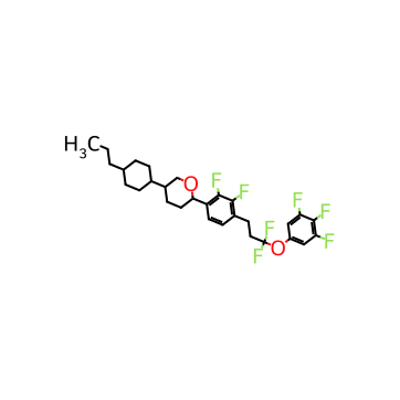 CCCC1CCC(C2CCC(c3ccc(CCC(F)(F)Oc4cc(F)c(F)c(F)c4)c(F)c3F)OC2)CC1